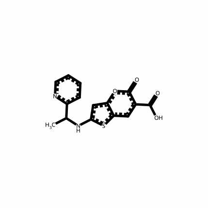 CC(Nc1cc2oc(=O)c(C(=O)O)cc2s1)c1ccccn1